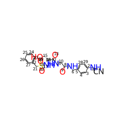 N#CNc1ccc(CNC(=O)CNC(=O)[C@@H](CO)NS(=O)(=O)Cc2ccccc2)cc1